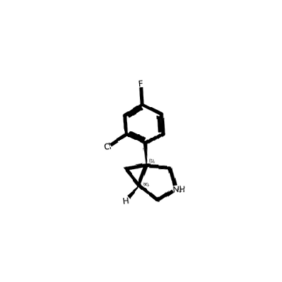 Fc1ccc([C@@]23CNC[C@@H]2C3)c(Cl)c1